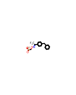 O=[SH](=O)CON=C(c1ccc(Cc2ccccc2)cc1)C(F)(F)F